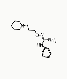 NC(=NOCCCN1CCCCC1)Nc1ccccc1